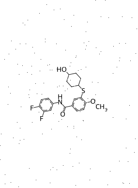 COc1ccc(C(=O)Nc2ccc(F)c(F)c2)cc1SC1CCC(O)CC1